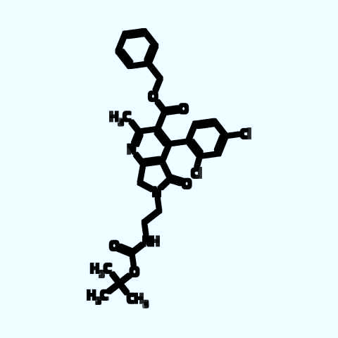 Cc1nc2c(c(-c3ccc(Cl)cc3Cl)c1C(=O)OCc1ccccc1)C(=O)N(CCNC(=O)OC(C)(C)C)C2